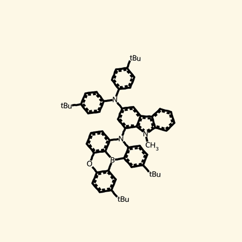 Cn1c2ccccc2c2cc(N(c3ccc(C(C)(C)C)cc3)c3ccc(C(C)(C)C)cc3)cc(N3c4ccc(C(C)(C)C)cc4B4c5cc(C(C)(C)C)ccc5Oc5cccc3c54)c21